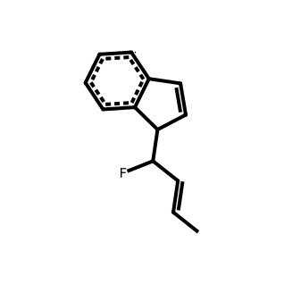 CC=CC(F)C1C=Cc2[c]cccc21